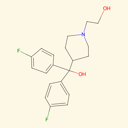 OCCN1CCC(C(O)(c2ccc(F)cc2)c2ccc(F)cc2)CC1